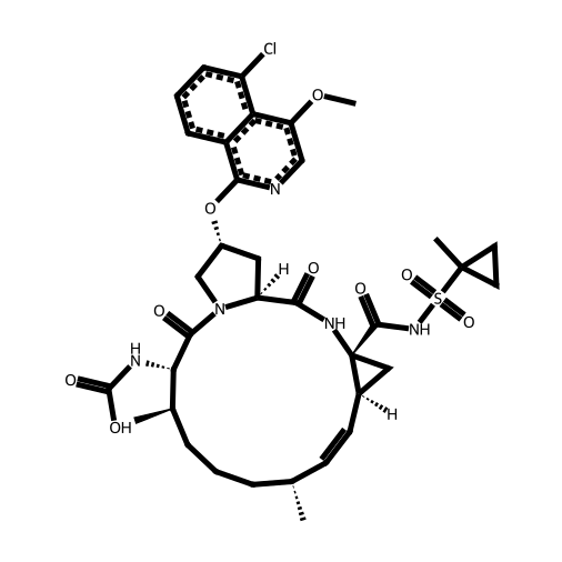 COc1cnc(O[C@@H]2C[C@H]3C(=O)N[C@]4(C(=O)NS(=O)(=O)C5(C)CC5)C[C@H]4/C=C\[C@H](C)CCC[C@@H](C)[C@H](NC(=O)O)C(=O)N3C2)c2cccc(Cl)c12